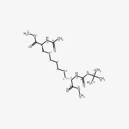 COC(=O)[C@H](CSCCCSC[C@H](NC(=O)OC(C)(C)C)C(=O)OC)NC(C)=O